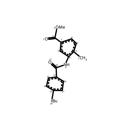 COC(=O)c1ccc(C)c(NC(=O)c2ccc(C(C)(C)C)cc2)c1